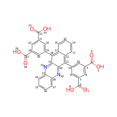 O=C(O)c1cc(C(=O)O)cc(-c2c3ccccc3c(-c3cc(C(=O)O)cc(C(=O)O)c3)c3nc4ccccc4nc23)c1